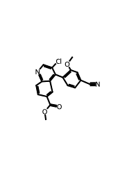 COC(=O)c1ccc2ncc(Cl)c(-c3ccc(C#N)cc3OC)c2c1